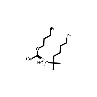 CC(C)CCCCC(C)(C)C(=O)O.CC(C)CCCOC(=O)C(C)(C)C